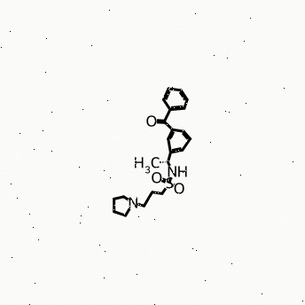 C[C@@H](NS(=O)(=O)CCCN1CCCC1)c1cccc(C(=O)c2ccccc2)c1